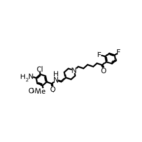 COc1cc(N)c(Cl)cc1C(=O)NCC1CCN(CCCCCC(=O)c2ccc(F)cc2F)CC1